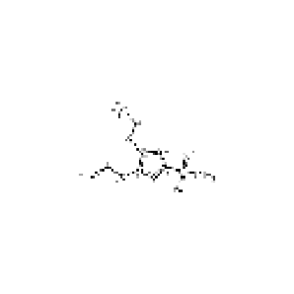 CCSc1cc(S(N)(=O)=O)sc1SCC